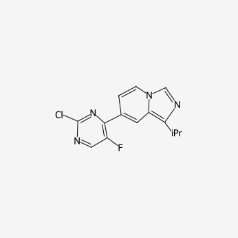 CC(C)c1ncn2ccc(-c3nc(Cl)ncc3F)cc12